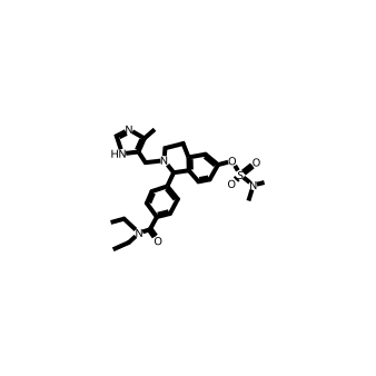 CCN(CC)C(=O)c1ccc(C2c3ccc(OS(=O)(=O)N(C)C)cc3CCN2Cc2[nH]cnc2C)cc1